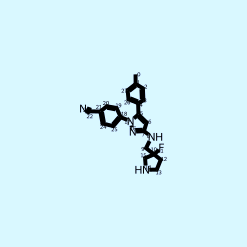 Cc1ccc(-c2cc(NCC3(F)CCNC3)nn2-c2ccc(C#N)cc2)cc1